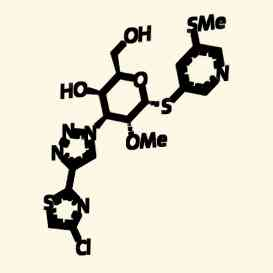 CO[C@@H]1[C@@H](n2cc(-c3nc(Cl)cs3)nn2)[C@@H](O)[C@@H](CO)O[C@@H]1Sc1cncc(SC)c1